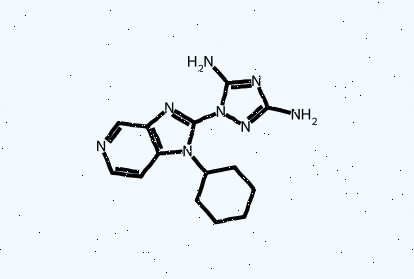 Nc1nc(N)n(-c2nc3cnccc3n2C2CCCCC2)n1